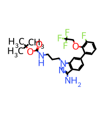 CC(C)(C)OC(=O)NCCCn1nc(N)c2ccc(-c3cccc(F)c3OCC(F)(F)F)cc21